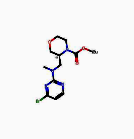 CN(C[C@H]1COCCN1C(=O)OC(C)(C)C)c1nccc(Br)n1